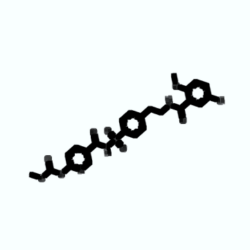 COC(=O)Oc1ccc(C(=O)NS(=O)(=O)c2ccc(CCNC(=O)c3cc(Cl)ccc3OC)cc2)cn1